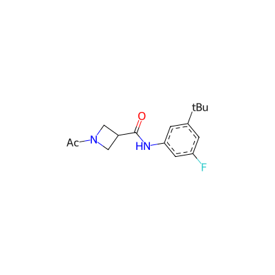 CC(=O)N1CC(C(=O)Nc2cc(F)cc(C(C)(C)C)c2)C1